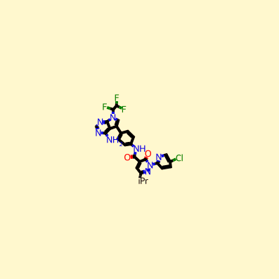 CC(C)c1cc(C(=O)Nc2ccc(-c3cn(C(F)C(F)F)c4ncnc(N)c34)cc2)c(=O)n(-c2ccc(Cl)cn2)n1